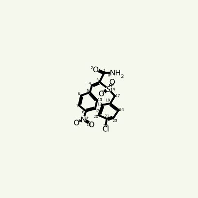 NC(=O)C(=Cc1ccc([N+](=O)[O-])cc1)S(=O)(=O)Cc1ccc(Cl)cc1